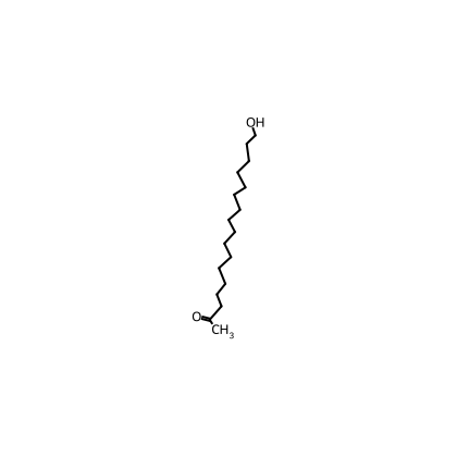 CC(=O)CCCCCCCCCCCCCCCO